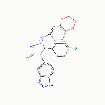 O=C1N/C(=N/C2=CC3=C(CC2)OCCO3)C(C2=C=C=C(Br)C=C2)N1c1ccc2[nH]cnc2c1